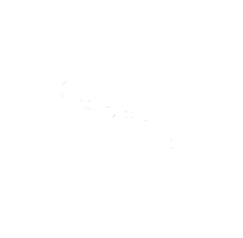 NC(=O)CCCCN1CCN(S(=O)(=O)c2ccc(NC(=O)NCc3cccnc3)cc2)CC1